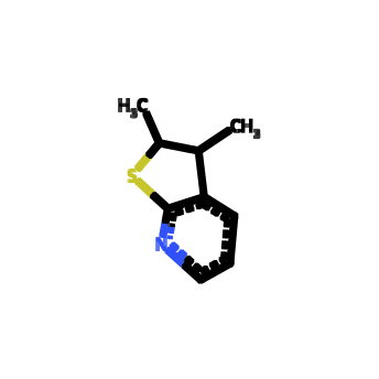 CC1Sc2ncccc2C1C